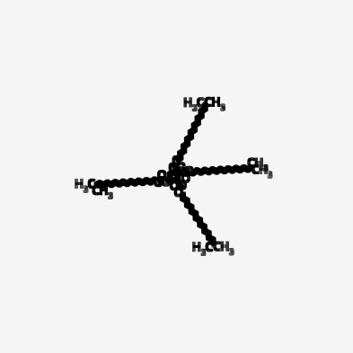 CC(C)CCCCCCCCCCCCCCCOC(=O)OC1CC(OC(=O)OCCCCCCCCCCCCCCCC(C)C)C(OC(=O)OCCCCCCCCCCCCCCCC(C)C)CC1OC(=O)OCCCCCCCCCCCCCCCC(C)C